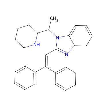 CC(C1CCCCN1)n1c(C=C(c2ccccc2)c2ccccc2)nc2ccccc21